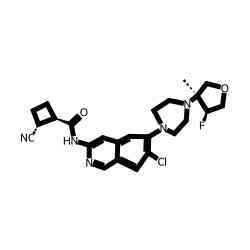 C[C@]1(N2CCN(c3cc4cc(NC(=O)[C@@H]5CC[C@H]5C#N)ncc4cc3Cl)CC2)COC[C@H]1F